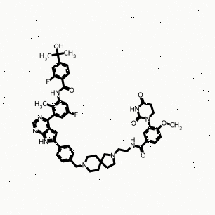 COc1ccc(C(=O)NCCN2CCC3(CCN(Cc4ccc(-c5cc6c(-c7cc(F)cc(NC(=O)c8ccc(C(C)(C)O)cc8F)c7C)ncnc6[nH]5)cc4)CC3)C2)cc1N1CCC(=O)NC1=O